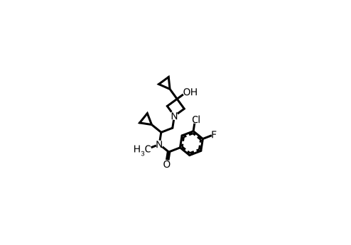 CN(C(=O)c1ccc(F)c(Cl)c1)C(CN1CC(O)(C2CC2)C1)C1CC1